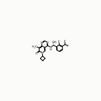 Cc1c(=O)n(C2CCC2)cc2c(N[C@H](O)c3cccc(C(F)F)c3F)ncnc12